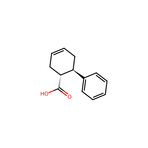 O=C(O)[C@@H]1CC=CC[C@H]1c1ccccc1